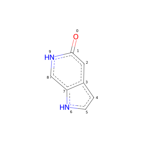 O=c1cc2cc[nH]c2[c][nH]1